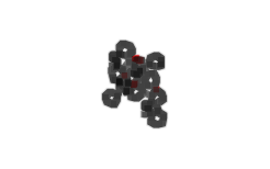 c1ccc(N(c2ccc(-c3cccc4c3sc3ccccc34)cc2)c2ccc3c(c2)C2(c4ccccc4S3)c3ccccc3[Si](c3ccccc3)(c3ccccc3)c3ccccc32)cc1